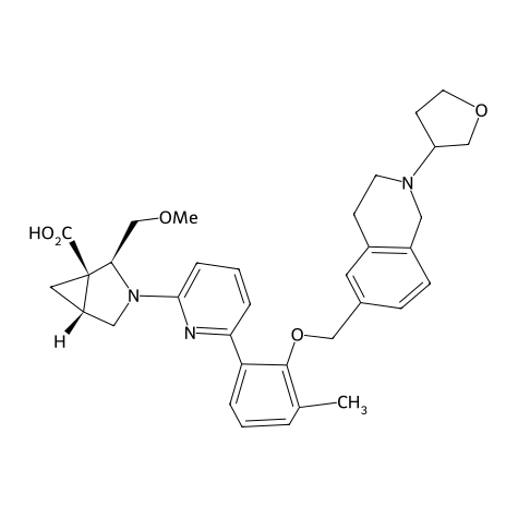 COC[C@H]1N(c2cccc(-c3cccc(C)c3OCc3ccc4c(c3)CCN(C3CCOC3)C4)n2)C[C@@H]2C[C@@]21C(=O)O